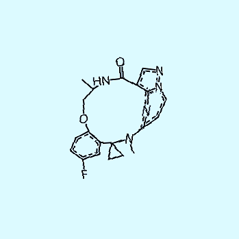 CC1COc2ccc(F)cc2C2(CC2)N(C)c2ccn3ncc(c3n2)C(=O)N1